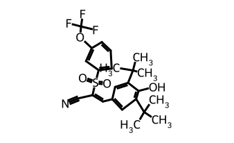 CC(C)(C)c1cc(/C=C(/C#N)S(=O)(=O)c2cccc(OC(F)(F)F)c2)cc(C(C)(C)C)c1O